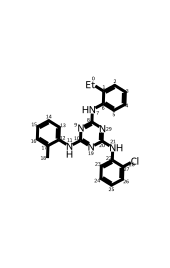 CCc1ccccc1Nc1nc(Nc2ccccc2C)nc(Nc2ccccc2Cl)n1